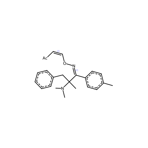 CC(=O)/C=C\O/N=C(/c1ccc(C)cc1)C(C)(Cc1ccccc1)N(C)C